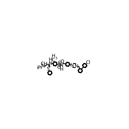 Cc1cc(S(=O)(=O)NC(=O)c2ccc(N3CCN(Cc4ccccc4-c4ccc(Cl)cc4)CC3)cc2)ccc1N[C@H](CCN(C)C(C)C)CSc1ccccc1